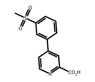 CS(=O)(=O)c1cccc(-c2ccnc(C(=O)O)c2)c1